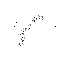 Cc1c(Cl)ccc(S(=O)(=O)C=CCNCC(=O)NCC(=O)N(C)Cc2ccc(C3=NCCN3)cc2)c1Cl